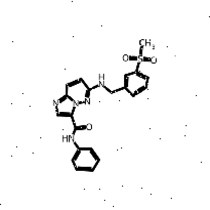 CS(=O)(=O)c1cccc(CNc2ccc3ncc(C(=O)Nc4ccccc4)n3n2)c1